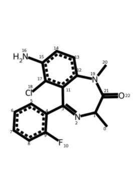 CC1N=C(c2ccccc2F)c2c(ccc(N)c2Cl)N(C)C1=O